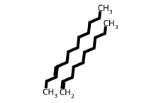 C=CCCCCCCCC.CCC=CCCCCCCCC